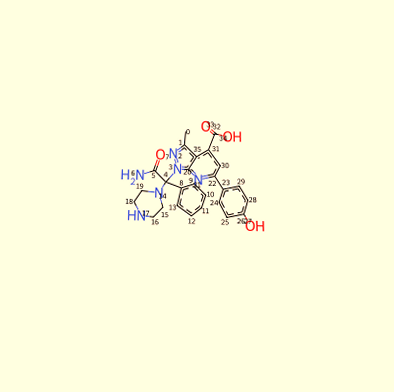 Cc1nn(C(C(N)=O)(c2ccccc2)N2CCNCC2)c2nc(-c3ccc(O)cc3)cc(C(=O)O)c12